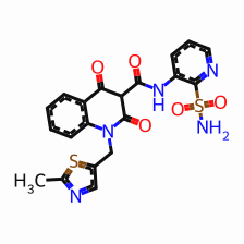 Cc1ncc(CN2C(=O)C(C(=O)Nc3cccnc3S(N)(=O)=O)C(=O)c3ccccc32)s1